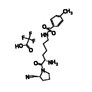 Cc1ccc(S(=O)(=O)NCCCC[C@H](N)C(=O)N2CCC[C@H]2C#N)cc1.O=C(O)C(F)(F)F